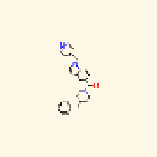 O=C(c1ccc2c(ccn2Cc2ccncc2)c1)N1CCC(Cc2ccccc2)CC1